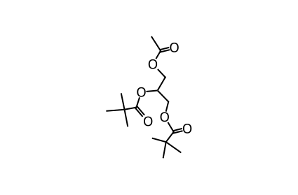 CC(=O)OCC(COC(=O)C(C)(C)C)OC(=O)C(C)(C)C